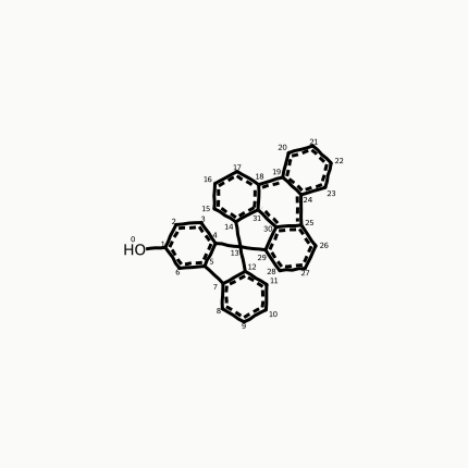 Oc1ccc2c(c1)-c1ccccc1C21c2cccc3c4ccccc4c4cccc1c4c23